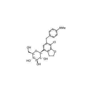 CNc1ccc(Cc2cc([C@@H]3O[C@H](CO)[C@@H](O)[C@H](O)[C@H]3O)c3c(c2Cl)OCC3)cc1